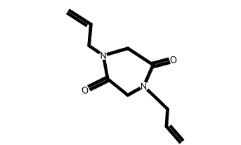 C=CCN1CC(=O)N(CC=C)CC1=O